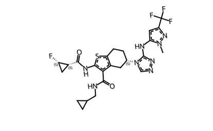 Cn1nc(C(F)(F)F)cc1Nc1nncn1[C@H]1CCc2sc(NC(=O)[C@@H]3C[C@@H]3F)c(C(=O)NCC3CC3)c2C1